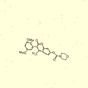 COc1ccc(OC)c(-c2c(C)c3ccc(OC(=O)N4CCOCC4)cc3oc2=O)c1